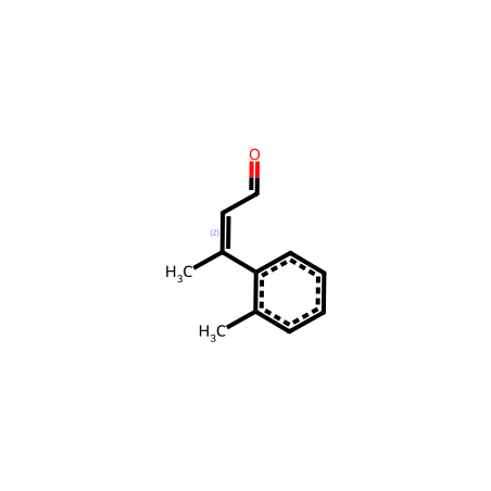 C/C(=C/C=O)c1ccccc1C